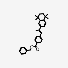 CC(=Cc1ccc(C(=O)OCc2ccccc2)cc1)c1ccc2c(c1)C(C)(C)CCC2(C)C